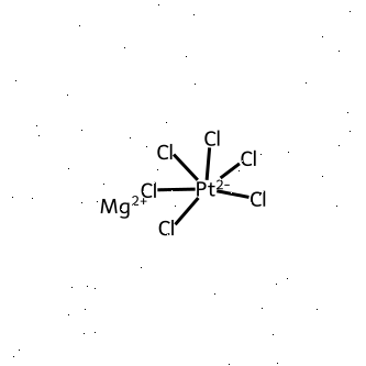 [Cl][Pt-2]([Cl])([Cl])([Cl])([Cl])[Cl].[Mg+2]